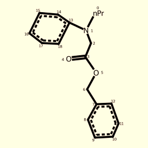 CCCN(CC(=O)OCc1ccccc1)c1ccccc1